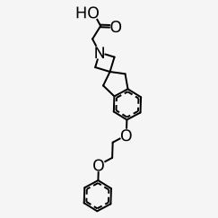 O=C(O)CN1CC2(Cc3ccc(OCCOc4ccccc4)cc3C2)C1